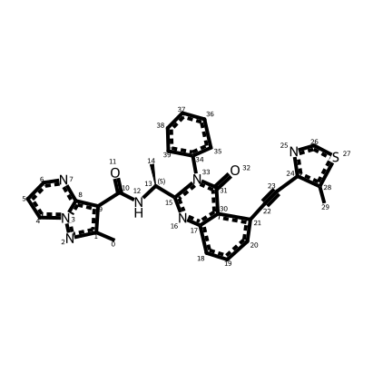 Cc1nn2cccnc2c1C(=O)N[C@@H](C)c1nc2cccc(C#Cc3ncsc3C)c2c(=O)n1-c1ccccc1